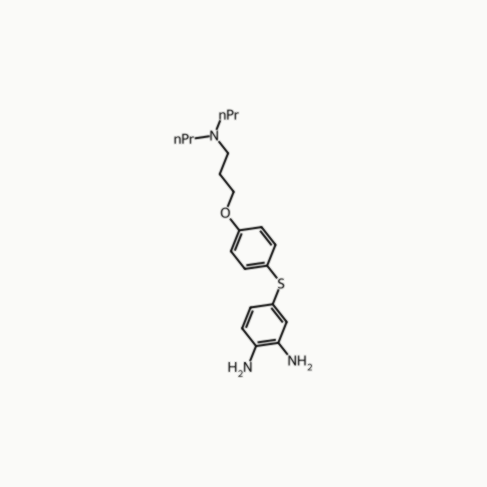 CCCN(CCC)CCCOc1ccc(Sc2ccc(N)c(N)c2)cc1